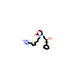 O=C1OCC[C@H](C=C[C@@H](O)C(F)(F)c2ccccc2)N1CCCc1ccc(-c2nn[nH]n2)s1